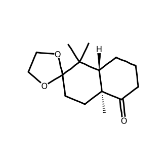 CC1(C)[C@@H]2CCCC(=O)[C@@]2(C)CCC12OCCO2